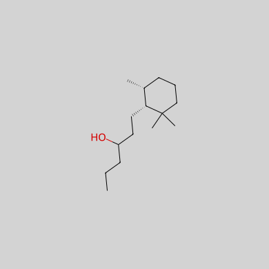 CCCC(O)CC[C@@H]1[C@H](C)CCCC1(C)C